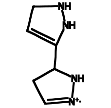 C1=[N+]NC(C2=CCNN2)C1